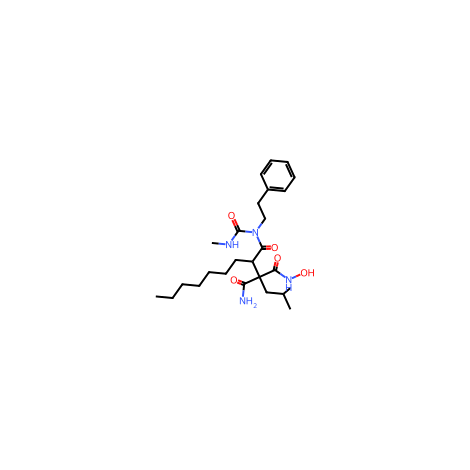 CCCCCCCC(C(=O)N(CCc1ccccc1)C(=O)NC)C(CC(C)C)(C(N)=O)C(=O)NO